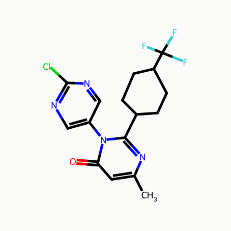 Cc1cc(=O)n(-c2cnc(Cl)nc2)c(C2CCC(C(F)(F)F)CC2)n1